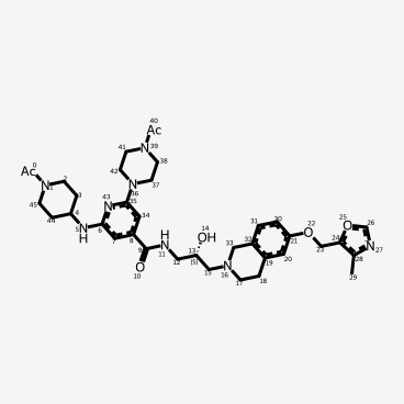 CC(=O)N1CCC(Nc2cc(C(=O)NC[C@H](O)CN3CCc4cc(OCc5ocnc5C)ccc4C3)cc(N3CCN(C(C)=O)CC3)n2)CC1